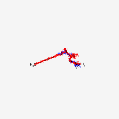 CCCN(CCC)C(=O)C1=Cc2ccc(C(=O)Nc3cnc4c(c3)CN(C(=O)OCc3ccc(O[C@@H]5O[C@H](C(=O)O)[C@@H](O)[C@H](O)[C@H]5O)c(NC(=O)CCNC(=O)CCc5ccc(N6C(=O)C=CC6=O)cc5C(=O)NCC(=O)NCC(=O)NCCOCCOCCOCCOCCOCCOCCOCCOCCOCCOCCOCCOCCOC)c3)CC4)cc2N=C(N)C1